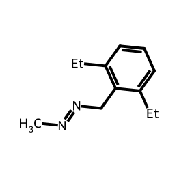 CCc1cccc(CC)c1CN=NC